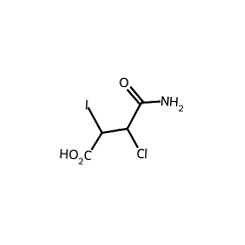 NC(=O)C(Cl)C(I)C(=O)O